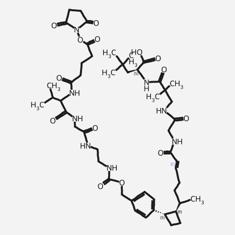 CC(C)C(NC(=O)CCCC(=O)ON1C(=O)CCC1=O)C(=O)NCC(=O)NCCNC(=O)OCc1ccc([C@H]2CC[C@@H]2C(C)CC/C=C/C(=O)NCC(=O)NCC(C)(C)C(=O)N[C@@H](CC(C)(C)C)C(=O)O)cc1